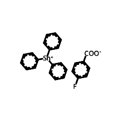 O=C([O-])c1ccc(F)cc1.c1cc[c]([Sn+]([c]2ccccc2)[c]2ccccc2)cc1